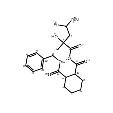 CCCCC(CC)CC(C)(O)C(=O)OC(=O)C1CCCCC1C(=O)OCc1ccccc1